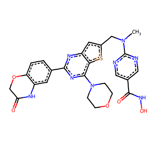 CN(Cc1cc2nc(-c3ccc4c(c3)NC(=O)CO4)nc(N3CCOCC3)c2s1)c1ncc(C(=O)NO)cn1